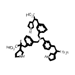 O=C(O)C(Cc1cccc(CN(Cc2cccc(CC(C(=O)O)C3CCNC3)c2)Cc2cccc(CC(F)(C(=O)O)C3CCNC3)c2)c1)C1CCNC1